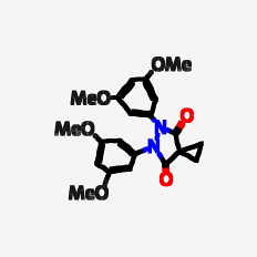 COc1cc(OC)cc(N2C(=O)C3(CC3)C(=O)N2c2cc(OC)cc(OC)c2)c1